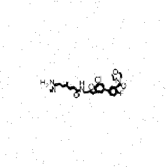 C=N\C(N)=C/C=C(C)/C=C/C(=O)NCc1cc2cc(-c3ccc(F)c(C(=O)N4CCOCC4)c3)cc(Cl)c2o1